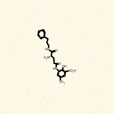 Cc1cc(NC(=O)CC[C@H](N)C(=O)NCCCc2ccccc2)c(O)c(S(=O)(=O)O)c1